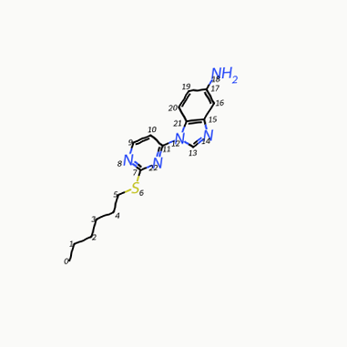 CCCCCCSc1nccc(-n2cnc3cc(N)ccc32)n1